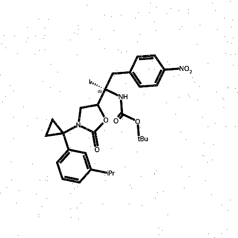 CC(C)c1cccc(C2(N3CC([C@@](I)(Cc4ccc([N+](=O)[O-])cc4)NC(=O)OC(C)(C)C)OC3=O)CC2)c1